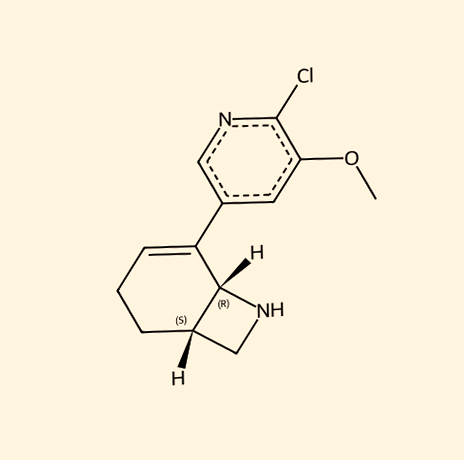 COc1cc(C2=CCC[C@H]3CN[C@@H]23)cnc1Cl